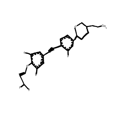 CCCC1CCC(c2ccc(C#Cc3cc(F)c(O/C=C/C(F)F)c(F)c3)c(F)c2)OC1